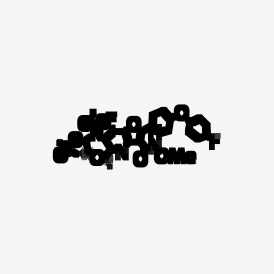 CONC(=O)c1c(-c2ccc(Oc3ccc(F)cc3)cc2)oc2c(F)c3c(nc12)[C@H](C)O[C@H](CS(C)(=O)=O)CN3S(C)(=O)=O